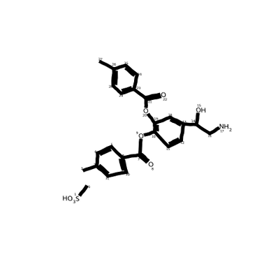 CS(=O)(=O)O.Cc1ccc(C(=O)Oc2ccc(C(O)CN)cc2OC(=O)c2ccc(C)cc2)cc1